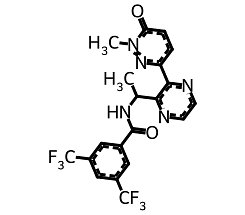 CC(NC(=O)c1cc(C(F)(F)F)cc(C(F)(F)F)c1)c1nccnc1-c1ccc(=O)n(C)n1